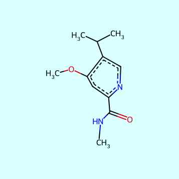 CNC(=O)c1cc(OC)c(C(C)C)cn1